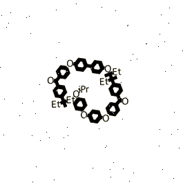 CCC(C)(CC)c1ccc(C(=O)c2ccc(Oc3ccc(-c4ccc(OC(C)(CC)C(C)(CC)c5ccc(C(=O)c6ccc(Oc7ccc(Oc8ccc(OC(C)C)cc8)cc7)cc6)cc5)cc4)cc3)cc2)cc1